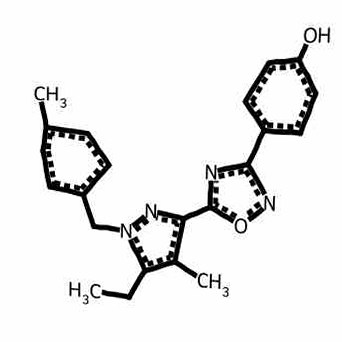 CCc1c(C)c(-c2nc(-c3ccc(O)cc3)no2)nn1Cc1ccc(C)cc1